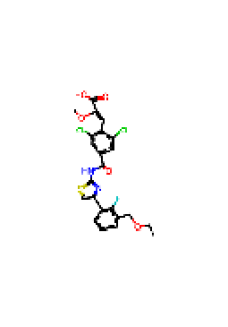 CCOCc1cccc(-c2csc(NC(=O)c3cc(Cl)c(C=C(OC)C(=O)O)c(Cl)c3)n2)c1F